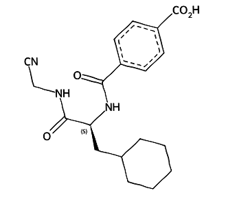 N#CCNC(=O)[C@H](CC1CCCCC1)NC(=O)c1ccc(C(=O)O)cc1